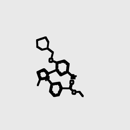 CCOC(=O)c1cccc(-n2c(C)ccc2-c2cc(Br)ccc2OCC2CCCCC2)c1